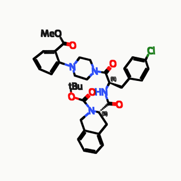 COC(=O)c1ccccc1N1CCN(C(=O)[C@@H](Cc2ccc(Cl)cc2)NC(=O)[C@@H]2Cc3ccccc3CN2C(=O)OC(C)(C)C)CC1